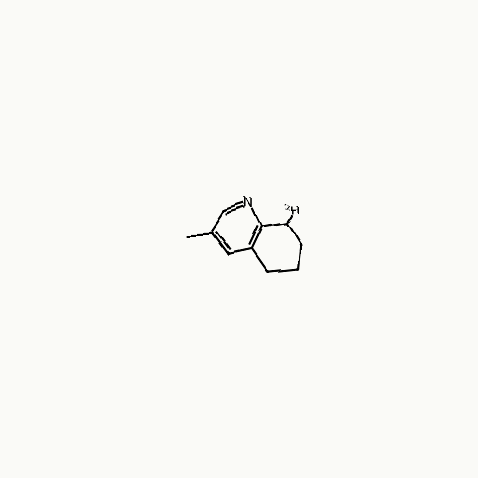 [2H]C1CCCc2cc(C)cnc21